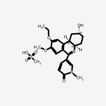 CCOc1cc2c(cc1OC)C(c1ccc(=O)n(C)c1)=N[C@@H]1CC[C@@H](O)C[C@H]21.CS(=O)(=O)O